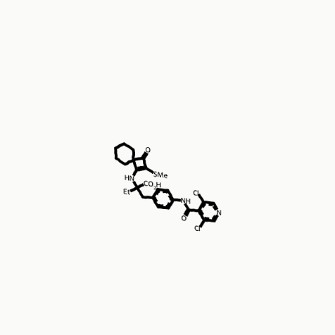 CCC(Cc1ccc(NC(=O)c2c(Cl)cncc2Cl)cc1)(NC1=C(SC)C(=O)C12CCCCC2)C(=O)O